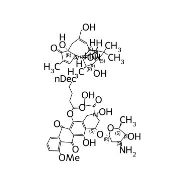 CC1=C[C@H]2[C@@]3(O)[C@H](C)[C@@H](O)[C@]4(O)[C@H]([C@@H]3C=C(CO)C[C@]2(O)C1=O)C4(C)C.CCCCCCCCCCCCCC(=O)Oc1c2c(c(O)c3c1C(=O)c1cccc(OC)c1C3=O)[C@@H](O[C@H]1C[C@H](N)[C@H](O)[C@H](C)O1)C[C@](O)(C(=O)CO)C2